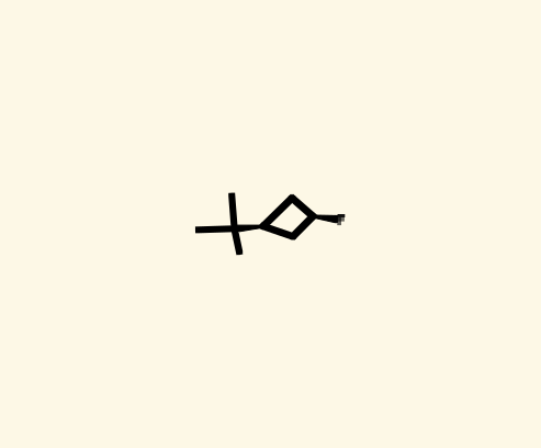 CC(C)(C)[C@H]1C[C@@H](F)C1